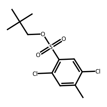 Cc1cc(Cl)c(S(=O)(=O)OCC(C)(C)C)cc1Cl